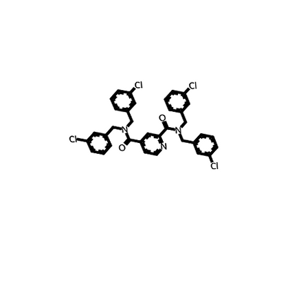 O=C(c1ccnc(C(=O)N(Cc2cccc(Cl)c2)Cc2cccc(Cl)c2)c1)N(Cc1cccc(Cl)c1)Cc1cccc(Cl)c1